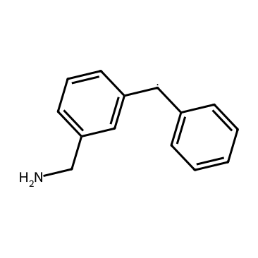 NCc1cccc([CH]c2ccccc2)c1